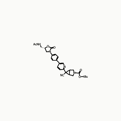 CC(=O)NC[C@H]1CN(c2ccc(-c3ccc(C4(C#N)C5CN(C(=O)OC(C)(C)C)CC54)nc3)cc2)C(=O)O1